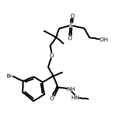 CNNC(=O)C(C)(COCC(C)(C)CS(=O)(=O)CCO)c1cccc(Br)c1